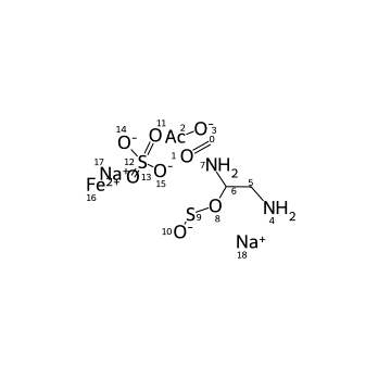 C=O.CC(=O)[O-].NCC(N)OS[O-].O=S(=O)([O-])[O-].[Fe+2].[Na+].[Na+]